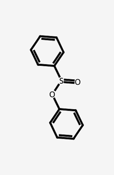 O=S(Oc1ccccc1)c1ccccc1